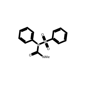 CNC(=O)N(c1ccccc1)S(=O)(=O)c1ccccc1